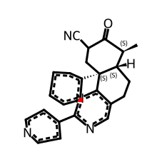 C[C@@H]1C(=O)C(C#N)C[C@]2(c3ccccc3)c3nc(-c4ccncc4)ncc3CC[C@@H]12